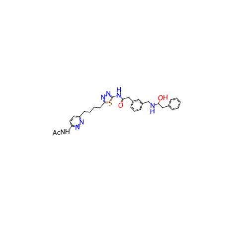 CC(=O)Nc1ccc(CCCCc2nnc(NC(=O)Cc3cccc(CNC(O)Cc4ccccc4)c3)s2)nn1